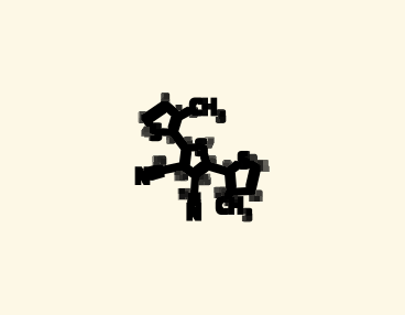 Cc1ccsc1-c1sc(-c2sccc2C)c(C#N)c1C#N